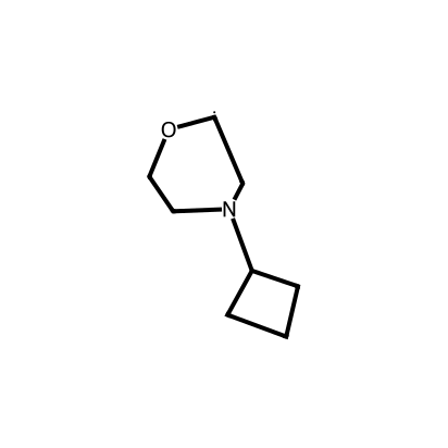 [CH]1CN(C2CCC2)CCO1